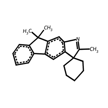 CC1=Nc2cc3c(cc2C12CCCCC2)-c1ccccc1C3(C)C